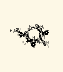 CC(=O)N[C@@H](CCCNC(=N)N)C(=O)N[C@H]1CCC(=O)NCCC[C@@H](C(N)=O)NC(=O)[C@H](Cc2c[nH]c3ccccc23)NC(=O)[C@H](CCCNC(=N)N)NC(=O)[C@@H](Cc2ccccc2)NC(=O)[C@@H]2C[C@@H](N)CN2C1=O